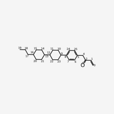 C=CC(=O)Cc1ccc(C2CCC(C3CCC(CCC)CC3)CC2)cc1